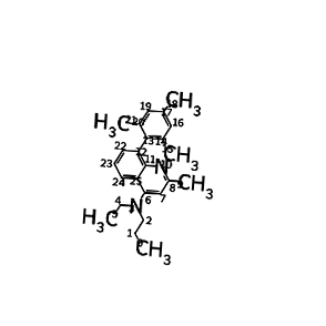 CCCN(CC)c1cc(C)nc2c(-c3c(C)cc(C)cc3C)cccc12